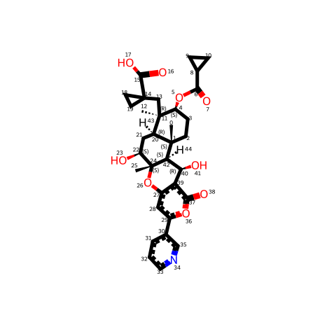 C[C@]12CC[C@H](OC(=O)C3CC3)[C@](C)(CC3(C(=O)O)CC3)[C@@H]1C[C@H](O)[C@@]1(C)Oc3cc(-c4cccnc4)oc(=O)c3[C@H](O)[C@H]21